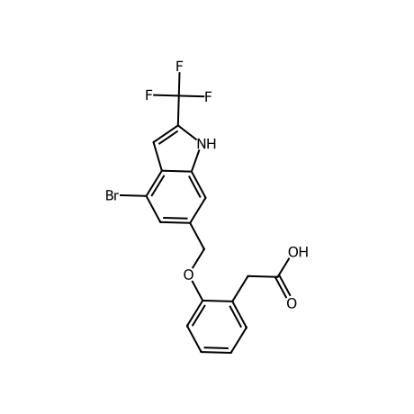 O=C(O)Cc1ccccc1OCc1cc(Br)c2cc(C(F)(F)F)[nH]c2c1